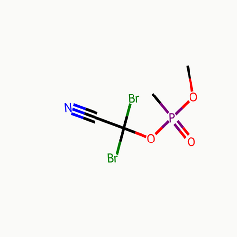 COP(C)(=O)OC(Br)(Br)C#N